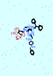 COC[C@H]1O[C@@H](n2cnc3c(NCC(c4ccccc4)c4ccccc4)nc(CN[C@H]4CC[C@H](NCc5ccccc5)CC4)nc32)[C@H](O)[C@@H]1O